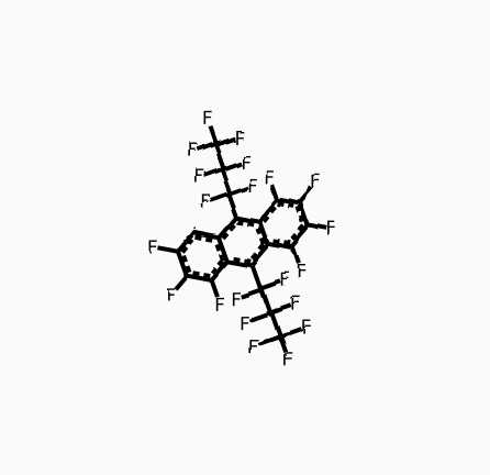 Fc1[c]c2c(C(F)(F)C(F)(F)C(F)(F)F)c3c(F)c(F)c(F)c(F)c3c(C(F)(F)C(F)(F)C(F)(F)F)c2c(F)c1F